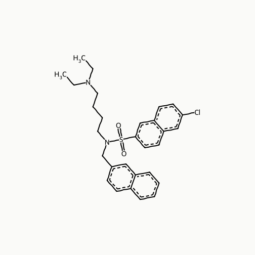 CCN(CC)CCCCN(Cc1ccc2ccccc2c1)S(=O)(=O)c1ccc2cc(Cl)ccc2c1